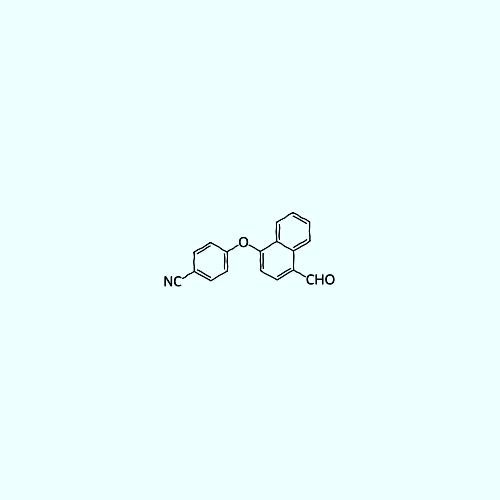 N#Cc1ccc(Oc2ccc(C=O)c3ccccc23)cc1